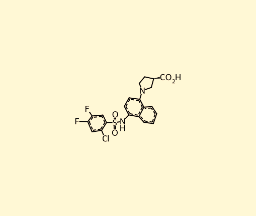 O=C(O)[C@@H]1CCN(c2ccc(NS(=O)(=O)c3cc(F)c(F)cc3Cl)c3ccccc23)C1